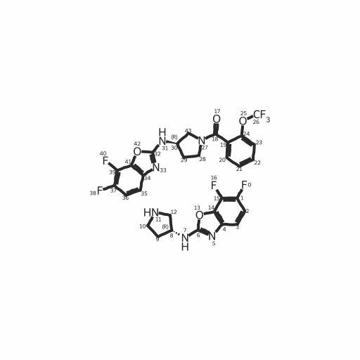 Fc1ccc2nc(N[C@@H]3CCNC3)oc2c1F.O=C(c1ccccc1OC(F)(F)F)N1CC[C@@H](Nc2nc3ccc(F)c(F)c3o2)C1